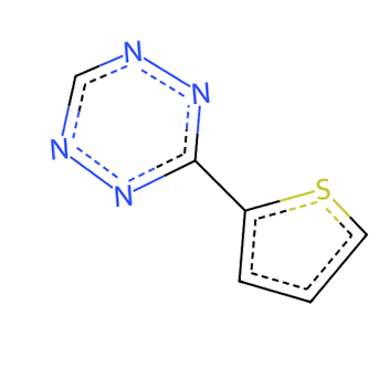 c1csc(-c2nncnn2)c1